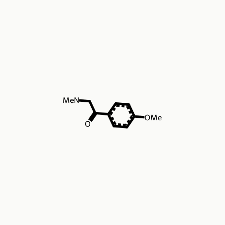 CNCC(=O)c1ccc(OC)cc1